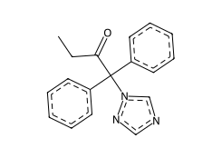 CCC(=O)C(c1ccccc1)(c1ccccc1)n1cncn1